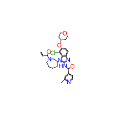 C=CC(=O)N1CCCCC(n2c(NC(=O)c3ccnc(C)c3)nc3ccc(OC4CCOCC4)c(Cl)c32)C1